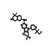 CC(C)(CF)c1cc(-n2c3nc(Nc4ccc5c(c4)CNCC5(C)C)ncc3c(=O)n2CC(F)(F)F)ccn1